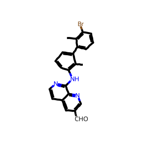 Cc1c(Br)cccc1-c1cccc(Nc2nccc3cc(C=O)cnc23)c1C